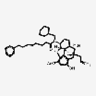 C=CCN1CC[C@]23c4c5c(O)cc(OC(C)=O)c4O[C@H]2[C@@H](N(CC2CCCCC2)C(=O)CCCCCCCc2ccccc2)CC[C@H]3[C@H]1C5